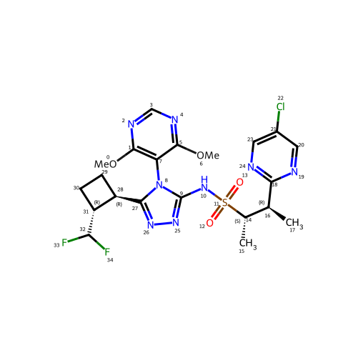 COc1ncnc(OC)c1-n1c(NS(=O)(=O)[C@@H](C)[C@H](C)c2ncc(Cl)cn2)nnc1[C@@H]1CC[C@H]1C(F)F